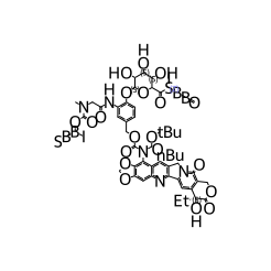 CCCCc1c2c(nc3cc4c(c(N(C(=O)OCc5ccc(O[C@@H]6OC(C(=O)/S(I)=B/B=O)[C@@H](O)[C@H](O)C6O)c(NC(=O)CN(C)C(=O)OB(I)B=S)c5)C(=O)OC(C)(C)C)c13)OCO4)-c1cc3c(c(=O)n1C2)COC(=O)[C@]3(O)CC